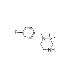 CC1(C)CNCCN1Cc1ccc(F)cc1